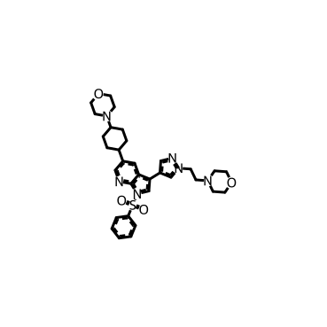 O=S(=O)(c1ccccc1)n1cc(-c2cnn(CCN3CCOCC3)c2)c2cc(C3CCC(N4CCOCC4)CC3)cnc21